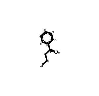 O=C(CCI)c1ccccc1